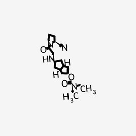 CCN(CC)C(=O)OC1C[C@@H]2C[C@H](NCC(=O)N3CCC[C@H]3C#N)C[C@@H]2C1